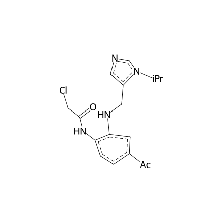 CC(=O)c1ccc(NC(=O)CCl)c(NCc2cncn2C(C)C)c1